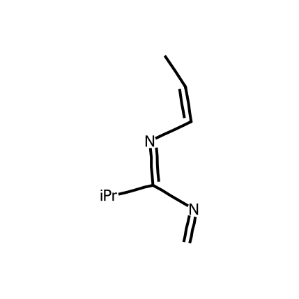 C=N/C(=N\C=C/C)C(C)C